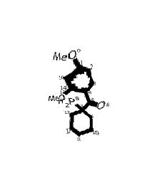 COc1ccc(C(=O)C2(P)CCCCC2)c(OC)c1